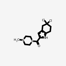 CN1CCN(C(=O)c2cc3c([nH]2)CCC(Cl)(Cl)C3)CC1